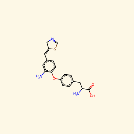 Nc1cc(C=C2CN=CS2)ccc1Oc1ccc(CC(N)C(=O)O)cc1